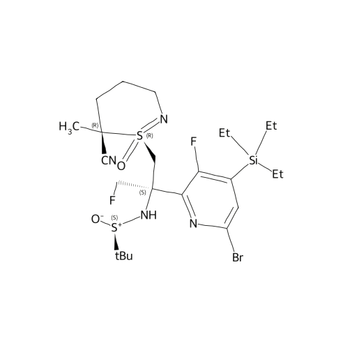 CC[Si](CC)(CC)c1cc(Br)nc([C@](CF)(C[S@]2(=O)=NCCC[C@]2(C)C#N)N[S@+]([O-])C(C)(C)C)c1F